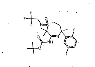 CC(C)(C)OC(=O)NC1=N[C@](C)(c2cc(I)ccc2F)CC[S@@](=O)(=NCC(F)(F)F)C1(C)C